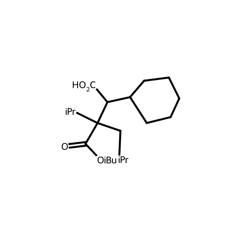 CC(C)COC(=O)C(CC(C)C)(C(C)C)C(C(=O)O)C1CCCCC1